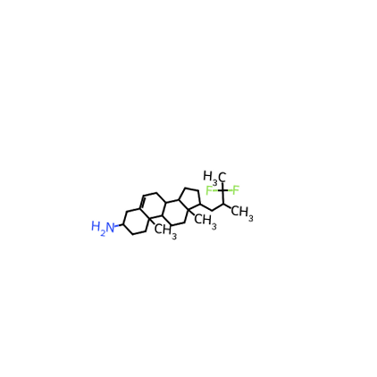 CC(CC1CCC2C3CC=C4CC(N)CCC4(C)C3CCC12C)C(C)(F)F